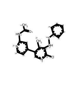 CC(=O)Nc1cc(-c2cnc(Cl)c(NSc3ccccc3)c2C)ccn1